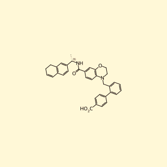 C[C@H](NC(=O)c1ccc2c(c1)OCCN2Cc1ccccc1-c1ccc(C(=O)O)cc1)c1ccc2c(c1)CCC=C2